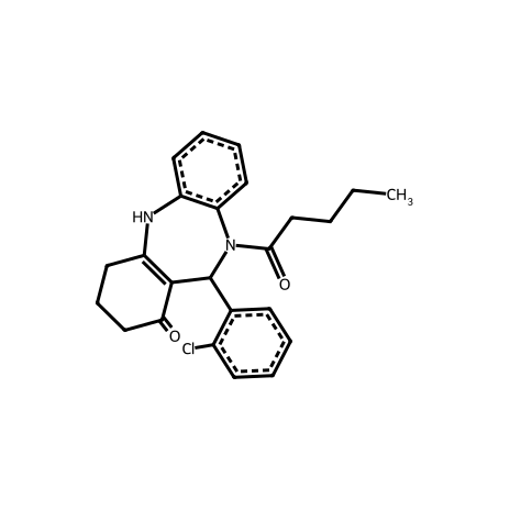 CCCCC(=O)N1c2ccccc2NC2=C(C(=O)CCC2)C1c1ccccc1Cl